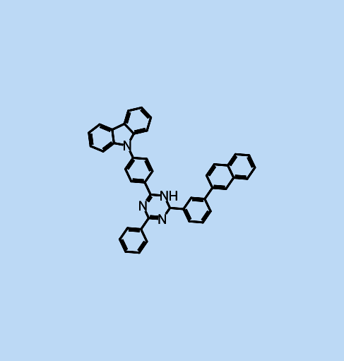 c1ccc(C2=NC(c3cccc(-c4ccc5ccccc5c4)c3)NC(c3ccc(-n4c5ccccc5c5ccccc54)cc3)=N2)cc1